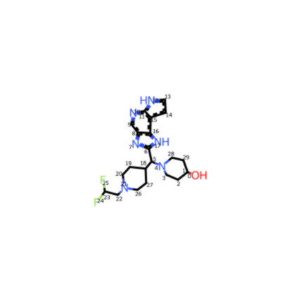 OC1CCN(C(c2nc3cnc4[nH]ccc4c3[nH]2)C2CCN(CC(F)F)CC2)CC1